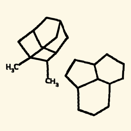 C1CC2CCCC3CCC(C1)C23.CC1C2CC3CC(C2)CC1(C)C3